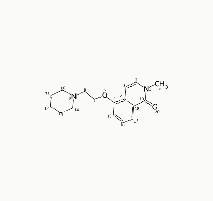 Cn1ccc2c(OCCN3CCCCC3)cccc2c1=O